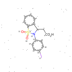 O=C(O)CC1c2ccccc2S(=O)(=O)N1c1ccc(I)cc1